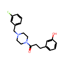 O=C(CCc1cccc(O)c1)N1CCN(Cc2cccc(F)c2)CC1